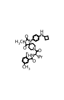 Cc1ccc(F)c(C(=O)N[C@@H](C(=O)N2CCC3(CC2)C(=O)N(C)C(=O)N3c2ccc(NC3CCC3)cc2)C(C)C)c1